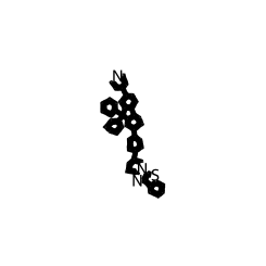 c1ccc(C2(c3ccccc3)c3cc(-c4ccncc4)ccc3-c3ccc(-c4ccc(-c5ccc6nc7c8ccccc8sc7n6c5)cc4)cc32)cc1